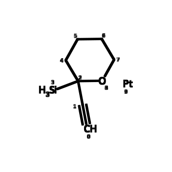 C#CC1([SiH3])CCCCO1.[Pt]